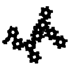 N#Cc1ccccc1-c1cccc(-c2nc(-c3ccccc3)nc(-c3ccc4c(c3)oc3cc(-c5ccccc5)cc(-c5ccc(-c6ccccc6)cc5)c34)n2)c1